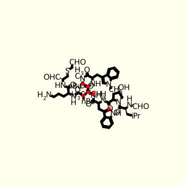 CCCCC(C(=O)N(C)C(CCCC)C(=O)NC(CCCN)C(=O)N[C@H](C=O)CSCC=O)N(C)C(=O)C(Cc1cn(C)c2ccccc12)NC(=O)[C@H](C)NC(=O)C(Cc1c[nH]c2ccccc12)NC(=O)C1C[C@@H](O)CN1C(=O)[C@H](CC(C)C)NC=O